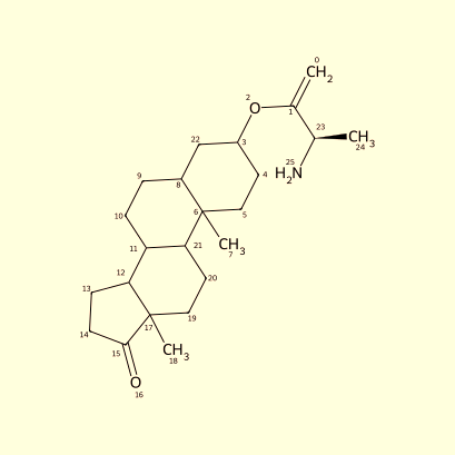 C=C(OC1CCC2(C)C(CCC3C4CCC(=O)C4(C)CCC32)C1)[C@@H](C)N